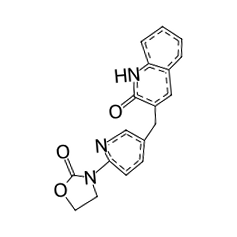 O=C1OCCN1c1ccc(Cc2cc3ccccc3[nH]c2=O)cn1